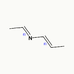 C/C=C/N=C/C